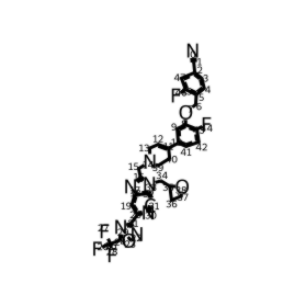 N#Cc1ccc(COc2cc(C3=CCN(Cc4nc5cc(-c6noc(C(F)(F)F)n6)ncc5n4CC4CCO4)CC3)ccc2F)c(F)c1